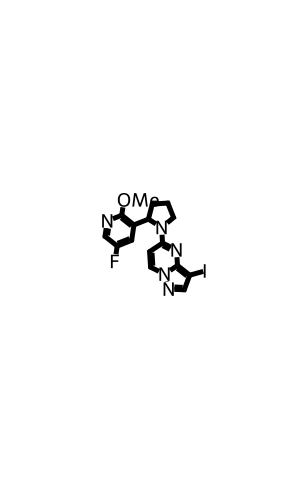 COc1ncc(F)cc1C1CCCN1c1ccn2ncc(I)c2n1